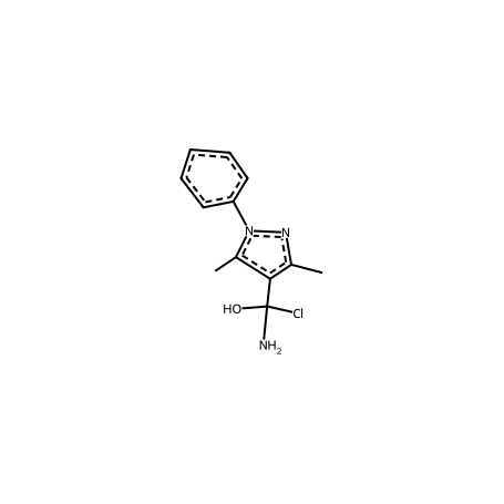 Cc1nn(-c2ccccc2)c(C)c1C(N)(O)Cl